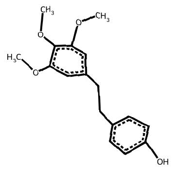 COc1cc(CCc2ccc(O)cc2)cc(OC)c1OC